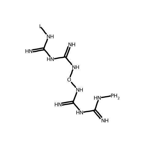 N=C(NP)NC(=N)NONC(=N)NC(=N)NI